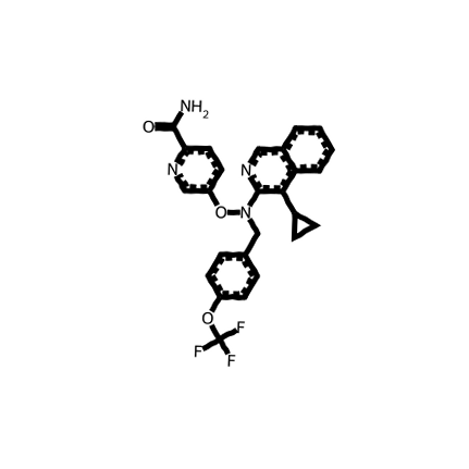 NC(=O)c1ccc(ON(Cc2ccc(OC(F)(F)F)cc2)c2ncc3ccccc3c2C2CC2)cn1